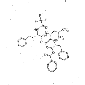 CC(C)C[C@H](NC(=O)[C@H](CCc1ccccc1)NC(=O)C(F)(F)F)C(=O)N[C@@H](Cc1ccccc1)C(=O)OC(=O)c1ccccc1